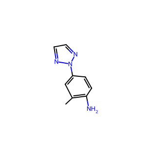 Cc1cc(-n2nccn2)ccc1N